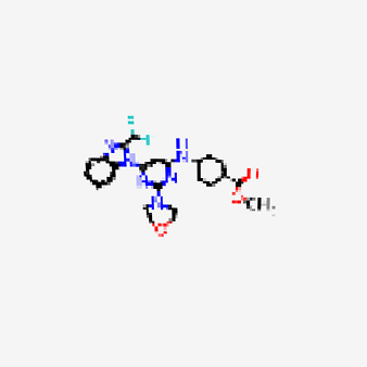 COC(=O)[C@H]1CC[C@H](Nc2cc(-n3c(C(F)F)nc4ccccc43)nc(N3CCOCC3)n2)CC1